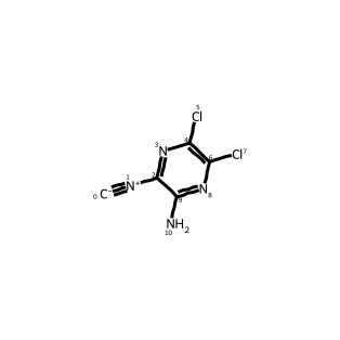 [C-]#[N+]c1nc(Cl)c(Cl)nc1N